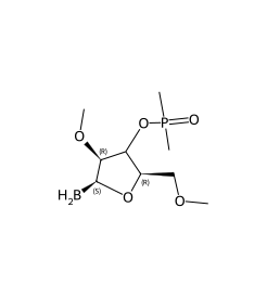 B[C@@H]1O[C@H](COC)C(OP(C)(C)=O)[C@@H]1OC